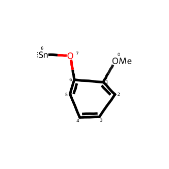 COc1ccccc1[O][Sn]